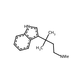 CNCCC(C)(C)c1c[nH]c2ccccc12